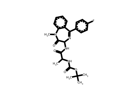 CC(NC(=O)OC(C)(C)C)C(=O)NC1N=C(c2ccc(F)cc2)c2ccccc2N(C)C1=O